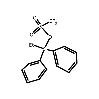 CC[Si](OS(=O)(=O)C(F)(F)F)(c1ccccc1)c1ccccc1